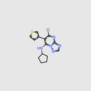 Clc1nc2ncnn2c(NC2CCCC2)c1-c1ccsc1